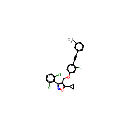 O=[N+]([O-])c1cccc(C#Cc2ccc(OCc3c(-c4c(Cl)cccc4Cl)noc3C3CC3)cc2Cl)c1